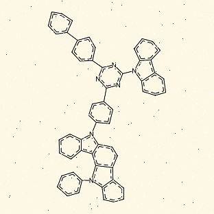 c1ccc(-c2ccc(-c3nc(-c4ccc(-n5c6ccccc6c6c5ccc5c7ccccc7n(-c7ccccc7)c56)cc4)nc(-n4c5ccccc5c5ccccc54)n3)cc2)cc1